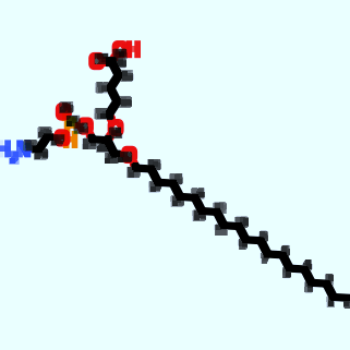 CCCCCCCCCCCCCCCCCCCCOCC(CO[PH](=O)OCCN)OCCCCC(=O)O